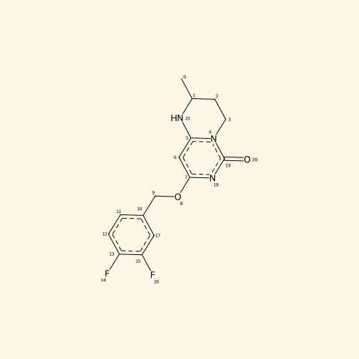 CC1CCn2c(cc(OCc3ccc(F)c(F)c3)nc2=O)N1